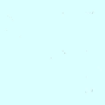 COc1ccc(-c2ccc(C(C)=O)c(=O)n2CCC(=O)O)cc1